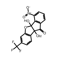 O=C1c2cccc([N+](=O)[O-])c2C2(O)Oc3cc(C(F)(F)F)ccc3C12O